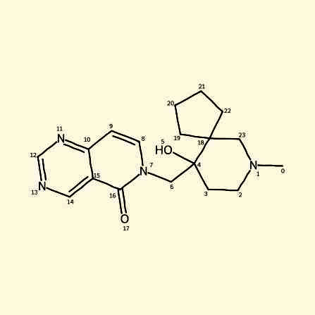 CN1CCC(O)(Cn2ccc3ncncc3c2=O)C2(CCCC2)C1